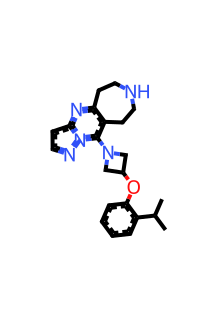 CC(C)c1ccccc1OC1CN(c2c3c(nc4ccnn24)CCNCC3)C1